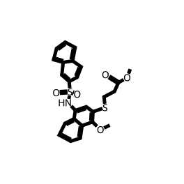 COC(=O)CCSc1cc(NS(=O)(=O)c2ccc3ccccc3c2)c2ccccc2c1OC